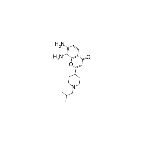 CC(C)CN1CCC(c2cc(=O)c3ccc(N)c(N)c3o2)CC1